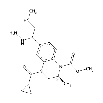 CNCC(NN)c1ccc2c(c1)N(C(=O)C1CC1)C[C@H](C)N2C(=O)OC